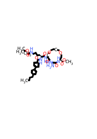 CCCCc1ccc(-c2ccc(C(=O)N[C@@H](CCCCNC(=O)OC(C)(C)C)C(=O)N[C@H]3COCCCCOCC[C@@H](C(=O)OC)NC(=O)[C@H](N)NC3=O)cc2)cc1